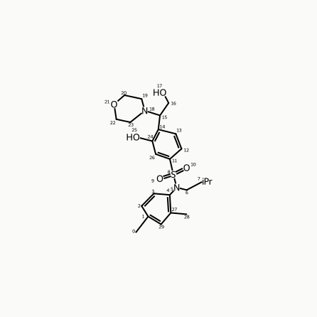 Cc1ccc(N(CC(C)C)S(=O)(=O)c2ccc(C(CO)N3CCOCC3)c(O)c2)c(C)c1